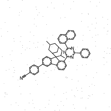 CC1CC2CC(C)C3(c4ccc(-c5ccc(C#N)cc5)cc4-c4cccc(-c5nc(-c6ccccc6)nc(-c6cccc7ccccc67)n5)c43)C(C1)C2